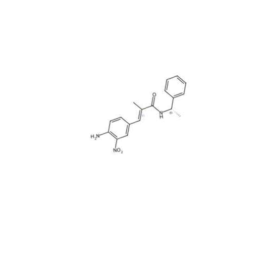 C/C(=C\c1ccc(N)c([N+](=O)[O-])c1)C(=O)N[C@@H](C)c1ccccc1